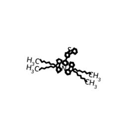 CCCCCCCCC1(CCCCCCCC)C2=C(CCC=C2)c2c(N(c3c#cc(-c4ccc5sc6ccccc6c5c4)cc3)c3cccc4c3-c3ccccc3C4(CCCCCCCC)CCCCCCCC)cccc21